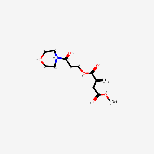 C=C(CC(=O)OCCCCCCCC)C(=O)OCCC(=O)N1CCOCC1